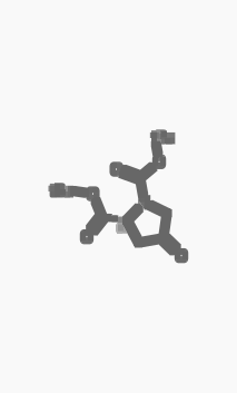 CC(C)(C)OC(=O)[C@H]1CC(=O)CN1C(=O)OC(C)(C)C